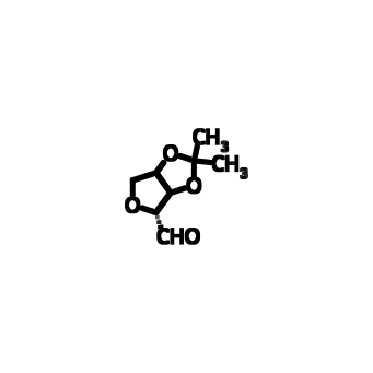 CC1(C)OC2CO[C@@H](C=O)C2O1